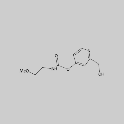 COCCNC(=O)Oc1ccnc(CO)c1